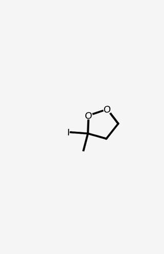 CC1(I)CCOO1